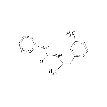 Cc1cccc(CC(C)NC(=O)Nc2ccccc2)c1